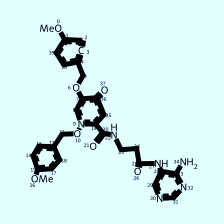 COc1ccc(COc2cn(OCc3ccc(OC)cc3)c(C(=O)NCCC(=O)Nc3cncnc3N)cc2=O)cc1